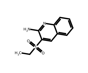 CCS(=O)(=O)c1cc2ccccc2nc1N